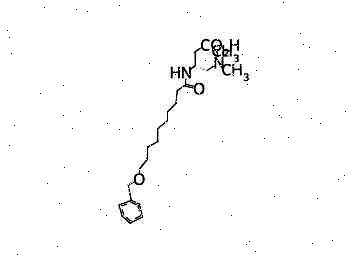 CN(C)C[C@@H](CC(=O)O)NC(=O)CCCCCCCCCOCc1ccccc1